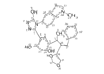 CC(c1cc(-c2nnc(O)n2-c2ccc3c(ccn3C)c2)c(O)cc1O)C(Cc1ccccc1)C1=COCO1